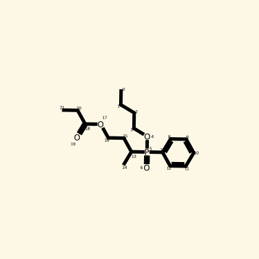 CCCCOP(=O)(c1ccccc1)C(C)CCOC(=O)CC